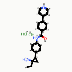 CCC1(N)CC1c1ccc(NC(=O)c2ccc(-c3ccncc3)cc2)cc1.Cl.Cl